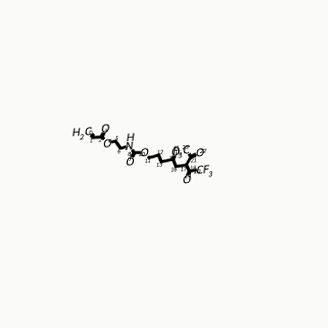 C=CC(=O)OCCNC(=O)OCCCC(=O)CC(C(=O)C(F)(F)F)C(=O)C(F)(F)F